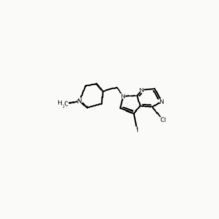 CN1CCC(Cn2cc(I)c3c(Cl)ncnc32)CC1